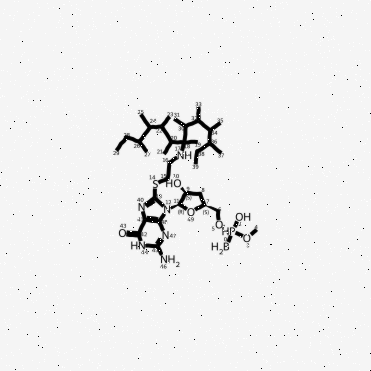 B[PH](O)(OC)OC[C@@H]1C[C@H](O)[C@H](n2c(SCCNC(C)(C(C)C(C)C(C)C(C)CC)C(C)C(C)C(C)C(C)CC)nc3c(=O)[nH]c(N)nc32)O1